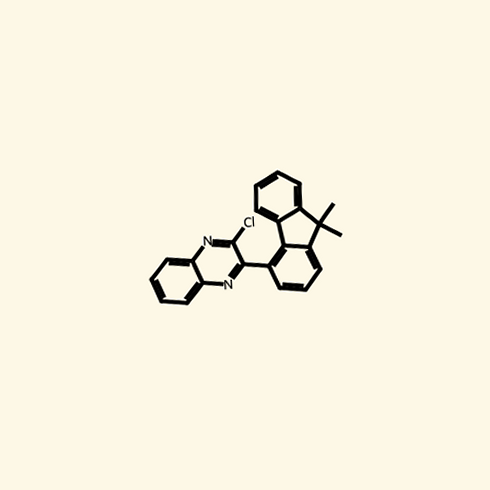 CC1(C)c2ccccc2-c2c(-c3nc4ccccc4nc3Cl)cccc21